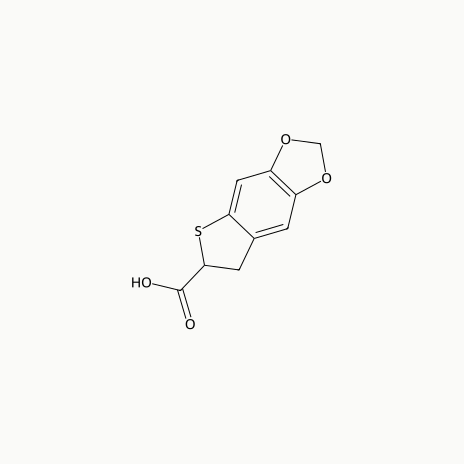 O=C(O)C1Cc2cc3c(cc2S1)OCO3